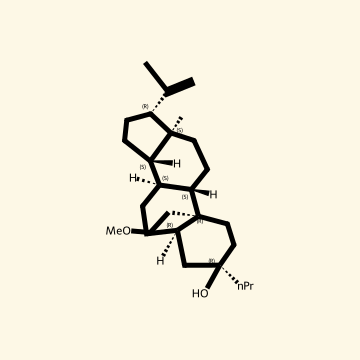 C=C(C)[C@H]1CC[C@H]2[C@@H]3CC[C@@H]4C[C@@](O)(CCC)CC[C@]4(CCOC)[C@H]3CC[C@]12C